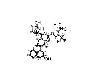 CN(C)C[C@@]1(COc2nc(N3CC4(C)CCC3CN4)c3cc(F)c(-c4cc(O)cc5ccccc45)c(F)c3n2)CC1(F)F